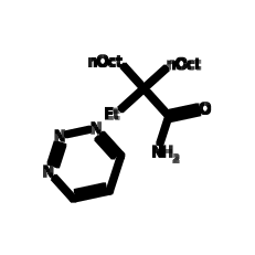 CCCCCCCCC(CC)(CCCCCCCC)C(N)=O.c1cnnnc1